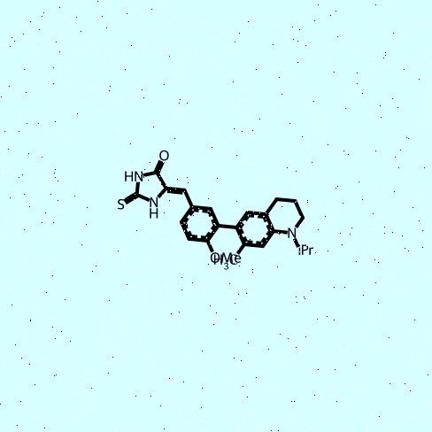 COc1ccc(/C=C2\NC(=S)NC2=O)cc1-c1cc2c(cc1C)N(C(C)C)CCC2